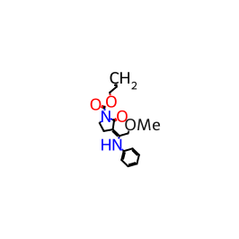 C=CCOC(=O)N1CC/C(=C(/COC)Nc2ccccc2)C1=O